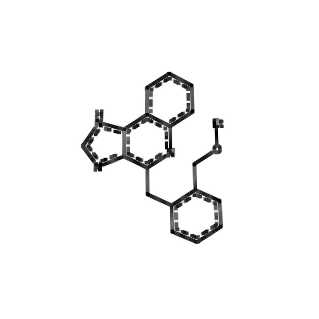 CCOCc1ccccc1Cc1nc2ccccc2c2[nH]cnc12